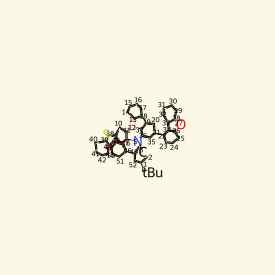 CC(C)(C)c1ccc(N2c3cc4c(cc3B3c5ccccc5-c5cc(-c6cccc7oc8ccccc8c67)cc2c53)sc2ccccc24)c(-c2ccccc2)c1